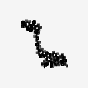 CN1C(=O)C(F)(F)CN(C2CCCC2)c2nc(Nc3cc(F)c(C(=O)NC4CCN(CCOCCOCCNc5cccc6c5C(=O)N(C5CCC(=O)NC5=O)C6=O)CC4)cc3OC(F)(F)F)ncc21